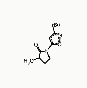 CC1CCN(c2cc(C(C)(C)C)no2)C1=O